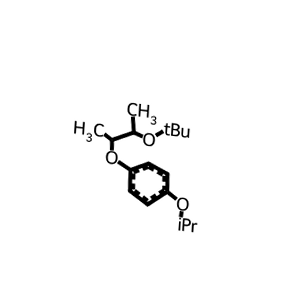 CC(C)Oc1ccc(OC(C)C(C)OC(C)(C)C)cc1